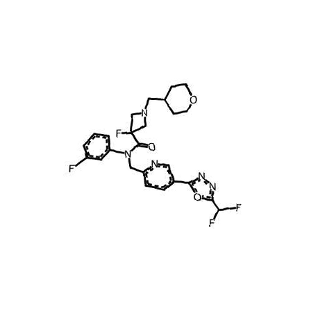 O=C(N(Cc1ccc(-c2nnc(C(F)F)o2)cn1)c1cccc(F)c1)C1(F)CN(CC2CCOCC2)C1